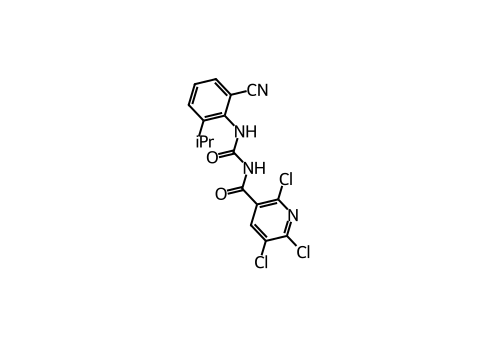 CC(C)c1cccc(C#N)c1NC(=O)NC(=O)c1cc(Cl)c(Cl)nc1Cl